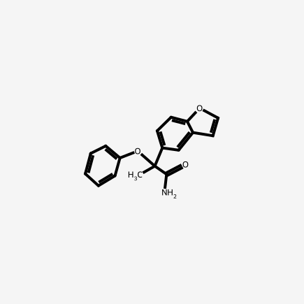 CC(Oc1ccccc1)(C(N)=O)c1ccc2occc2c1